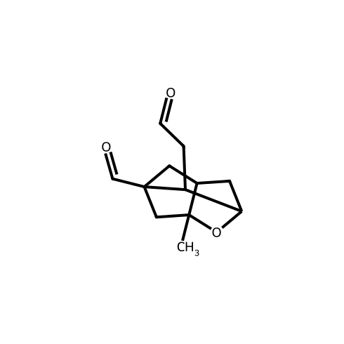 CC12CC3(C=O)CC1CC(O2)C3CC=O